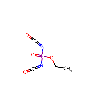 CCOP(=O)(N=C=O)N=C=O